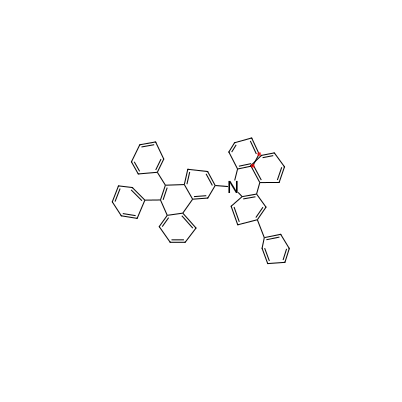 c1ccc(-c2ccc(N(c3ccccc3)c3ccc4c(-c5ccccc5)c(-c5ccccc5)c5ccccc5c4c3)c(-c3ccccc3)c2)cc1